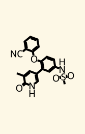 Cc1cc(-c2cc(NS(C)(=O)=O)ccc2Oc2ccccc2C#N)c[nH]c1=O